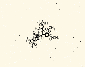 CNC(=O)CC(N)C(=O)NC(C(=O)N[C@@H]1C(=O)N2[C@@H](C(=O)O)C(C)(C)SC12NC=O)c1ccc(OC(C)=O)c(OC(C)=O)c1